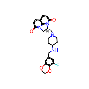 O=c1ccc2ccc(=O)n3c2n1C[C@H]3CN1CCC(NCc2cc(F)c3c(c2)OCCO3)CC1